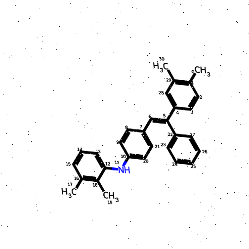 Cc1ccc(C(=Cc2ccc(Nc3cccc(C)c3C)cc2)c2ccccc2)cc1C